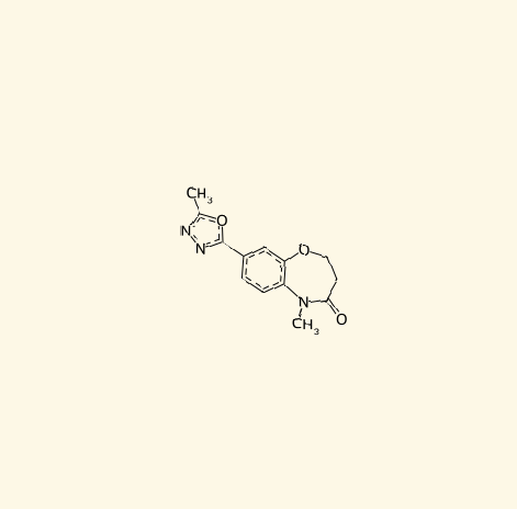 Cc1nnc(-c2ccc3c(c2)OCCC(=O)N3C)o1